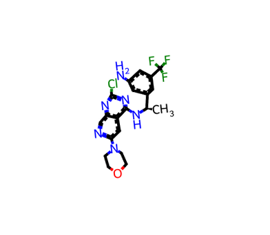 C[C@@H](Nc1nc(Cl)nc2cnc(N3CCOCC3)cc12)c1cc(N)cc(C(F)(F)F)c1